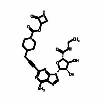 CCNC(=O)[C@H]1O[C@@H](n2cnc3c(N)nc(C#CCC4CCN(C(=O)OC5CNC5=O)CC4)nc32)[C@@H](O)C1O